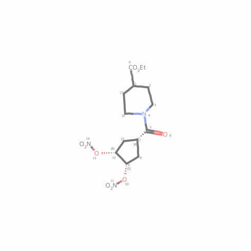 CCOC(=O)C1CCN(C(=O)[C@@H]2C[C@H](O[N+](=O)[O-])[C@H](O[N+](=O)[O-])C2)CC1